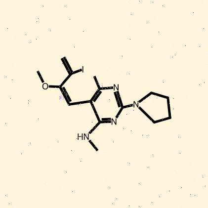 C=C(I)/C(=C\c1c(C)nc(N2CCCC2)nc1NC)OC